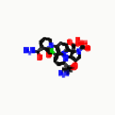 CO[C@@H]1CN(C(=O)O)[C@@](C(=O)O)(c2ccc(N3CCCC(C(N)=O)C3=O)cn2)C1N1CC(Cl)=CC=C1C(N)=O